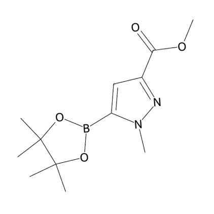 COC(=O)c1cc(B2OC(C)(C)C(C)(C)O2)n(C)n1